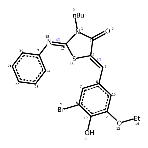 CCCCN1C(=O)/C(=C/c2cc(Br)c(O)c(OCC)c2)S/C1=N\c1ccccc1